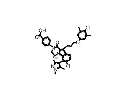 Cc1cc(OCCCc2c3n(c4c(-c5c(C)nn(C)c5C)c(Cl)ccc24)[C@@H](C)CN(c2ccc(C(=O)O)cc2)C3=O)cc(C)c1Cl